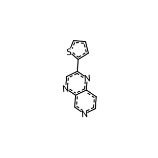 c1csc(-c2cnc3cnccc3n2)c1